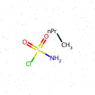 CCCC.NS(=O)(=O)Cl